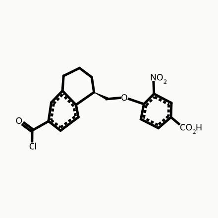 O=C(O)c1ccc(OC[C@@H]2CCCc3cc(C(=O)Cl)ccc32)c([N+](=O)[O-])c1